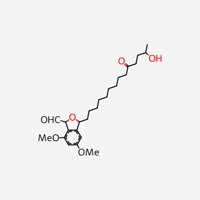 COc1cc(OC)c2c(c1)C(CCCCCCCCCC(=O)CCC(C)O)OC2C=O